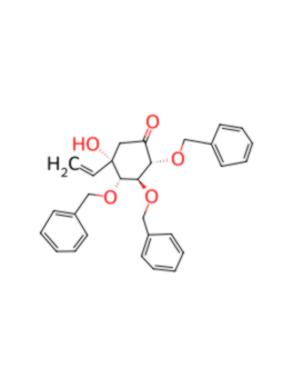 C=C[C@@]1(O)CC(=O)[C@H](OCc2ccccc2)[C@@H](OCc2ccccc2)[C@@H]1OCc1ccccc1